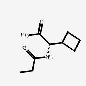 CCC(=O)N[C@H](C(=O)O)C1CCC1